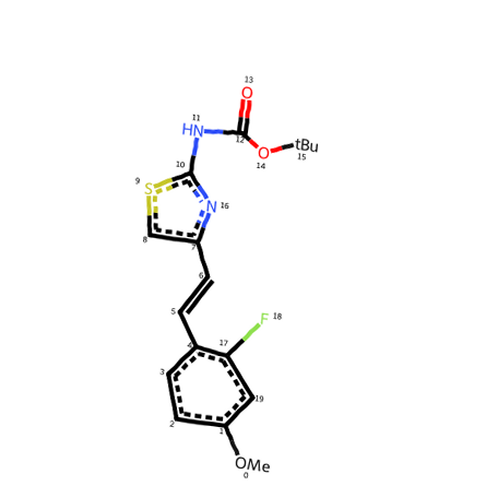 COc1ccc(C=Cc2csc(NC(=O)OC(C)(C)C)n2)c(F)c1